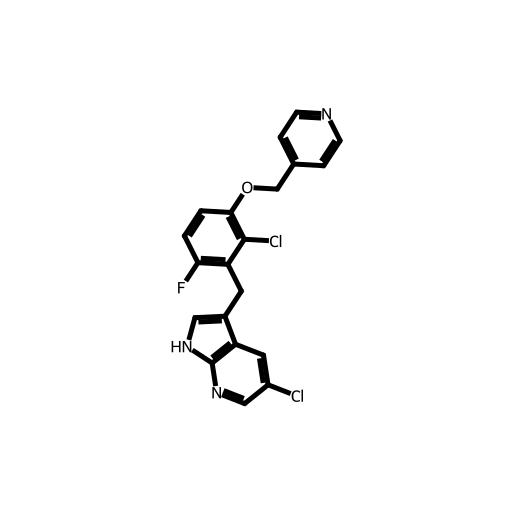 Fc1ccc(OCc2ccncc2)c(Cl)c1Cc1c[nH]c2ncc(Cl)cc12